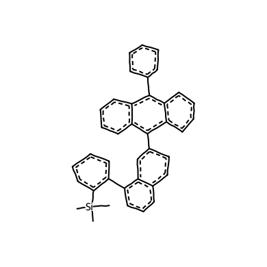 C[Si](C)(C)c1ccccc1-c1cccc2ccc(-c3c4ccccc4c(-c4ccccc4)c4ccccc34)cc12